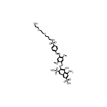 COc1cc(N=Nc2c(S(=O)(=O)O)cc3cc(S(=O)(=O)O)cc(N)c3c2O)c(OC)cc1N=Nc1ccc(S(=O)(=O)NCCCOCCOCCO)cc1